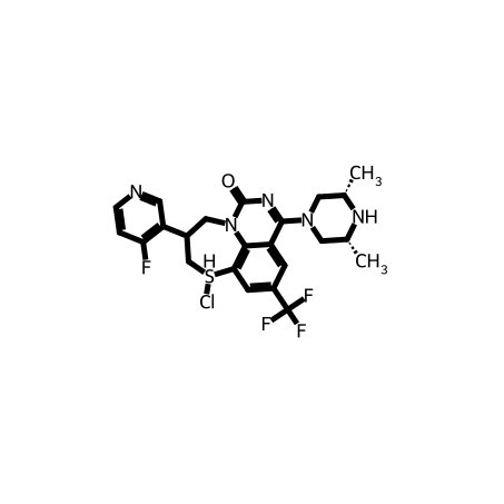 C[C@@H]1CN(c2nc(=O)n3c4c(cc(C(F)(F)F)cc24)[SH](Cl)CC(c2cnccc2F)C3)C[C@H](C)N1